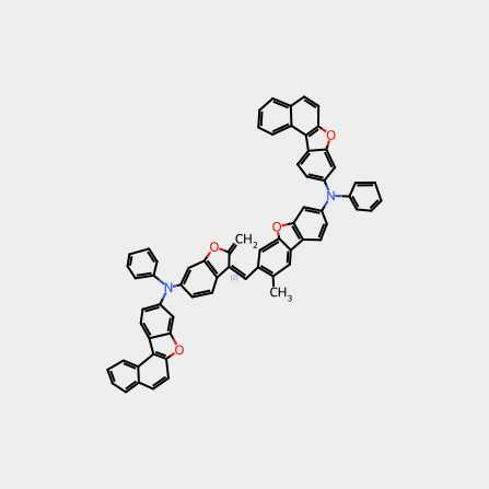 C=c1oc2cc(N(c3ccccc3)c3ccc4c(c3)oc3ccc5ccccc5c34)ccc2/c1=C/c1cc2oc3cc(N(c4ccccc4)c4ccc5c(c4)oc4ccc6ccccc6c45)ccc3c2cc1C